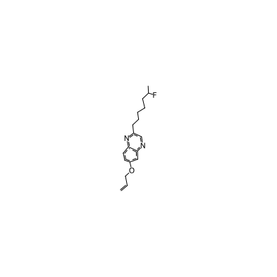 C=CCOc1ccc2nc(CCCCCC(C)F)cnc2c1